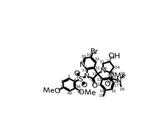 COc1ccc(S(=O)(=O)N2C(=O)C(c3cc(C)ccc3OC)(N3C[C@H](O)C[C@H]3C(=O)N(C)C)c3cc(Br)cnc32)c(OC)c1